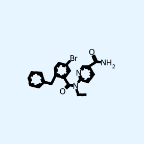 CCN(C(=O)c1cc(Br)ccc1Cc1ccccc1)c1ccc(C(N)=O)cn1